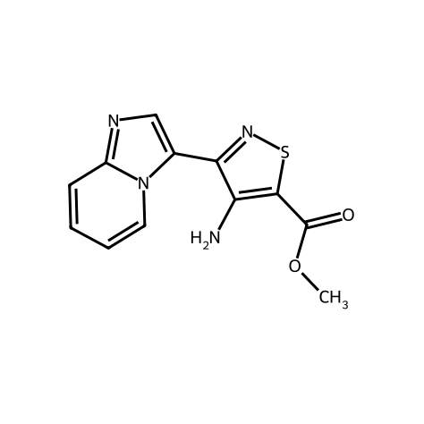 COC(=O)c1snc(-c2cnc3ccccn23)c1N